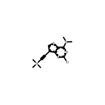 CN(C)c1nc(Cl)nc2c(C#C[Si](C)(C)C)csc12